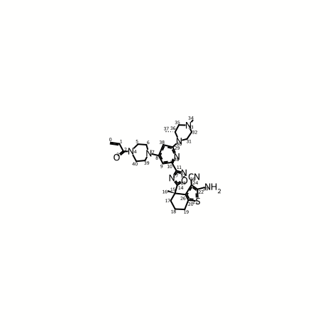 C=CC(=O)N1CCN(c2cc(-c3noc([C@@]4(C)CCCc5sc(N)c(C#N)c54)n3)nc(N3CCN(C)C[C@H]3C)c2)CC1